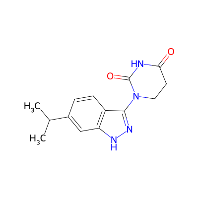 CC(C)c1ccc2c(N3CCC(=O)NC3=O)n[nH]c2c1